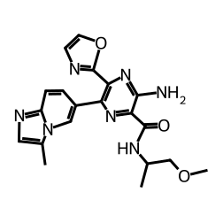 COCC(C)NC(=O)c1nc(-c2ccc3ncc(C)n3c2)c(-c2ncco2)nc1N